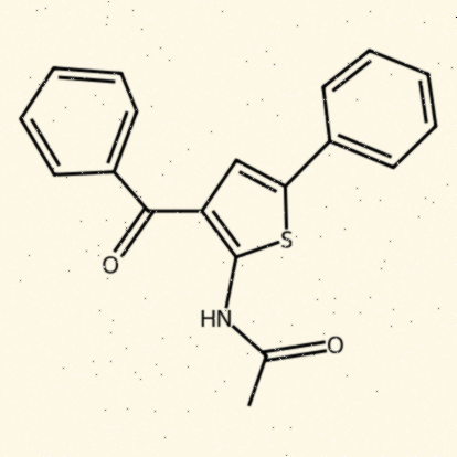 CC(=O)Nc1sc(-c2ccccc2)cc1C(=O)c1ccccc1